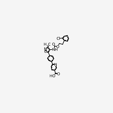 Cc1noc(-c2ccc(-c3ccc(C(=O)O)cn3)cc2)c1NC(=O)OCCc1ccccc1Cl